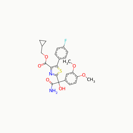 COc1ccc(C(O)(C(N)=O)c2nc(C(=O)OCC3CC3)c(-c3ccc(F)cc3)s2)cc1OC